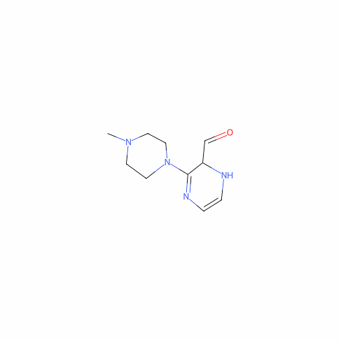 CN1CCN(C2=NC=CNC2C=O)CC1